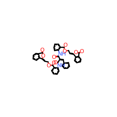 O=C(Nc1ccccc1C(=O)OCC=C1OC(=O)c2ccccc21)C(=Cc1ccccc1)C(=O)Nc1ccccc1C(=O)OCC=C1OC(=O)c2ccccc21